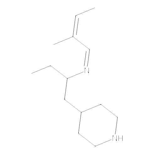 C/C=C(C)\C=N/C(CC)CC1CCNCC1